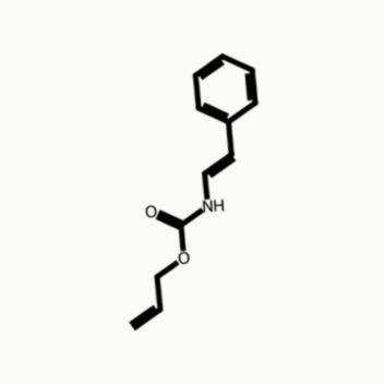 C=CCOC(=O)NC=Cc1ccccc1